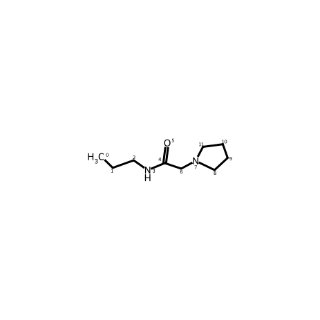 CCCNC(=O)CN1CCCC1